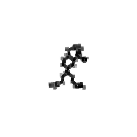 CCCN(CCC)c1ccc(CC)c([N+](=O)[O-])c1